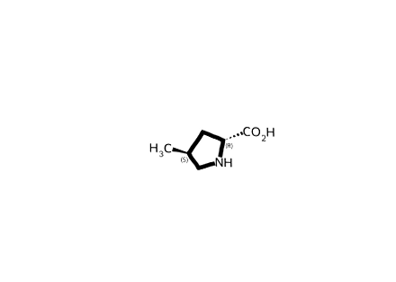 C[C@@H]1CN[C@@H](C(=O)O)C1